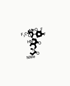 CN[C@@H](C)C(=O)N(C)Cc1c(C)[nH]c([C@@H]2O[C@@](C)(C(F)(F)F)[C@@H](C)[C@H]2c2ccc(F)c(F)c2OC)cc1=O